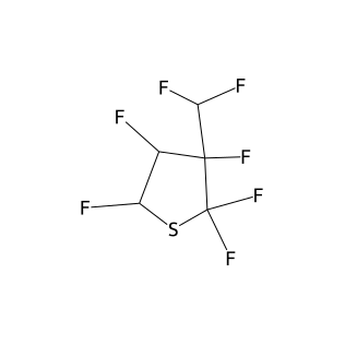 FC1SC(F)(F)C(F)(C(F)F)C1F